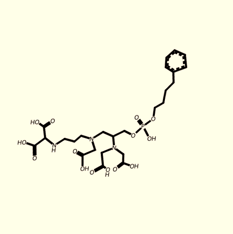 O=C(O)CN(CCCNC(C(=O)O)C(=O)O)CC(COP(=O)(O)OCCCCc1ccccc1)N(CC(=O)O)CC(=O)O